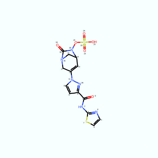 O=C(Nc1nccs1)c1ccn(C2=CC3CN(C2)C(=O)N3OS(=O)(=O)O)n1